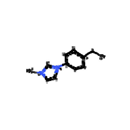 CCC[n+]1ccn(-c2ccc(CC(C)C)cc2)c1